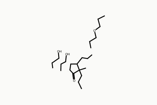 CCCC1CCC(=O)C1(C)CCC.CCCO.CCCO.CCCOCCC